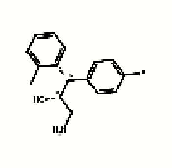 Cc1ccccc1[C@H](c1ccc(F)cc1)[C@@H](O)CN